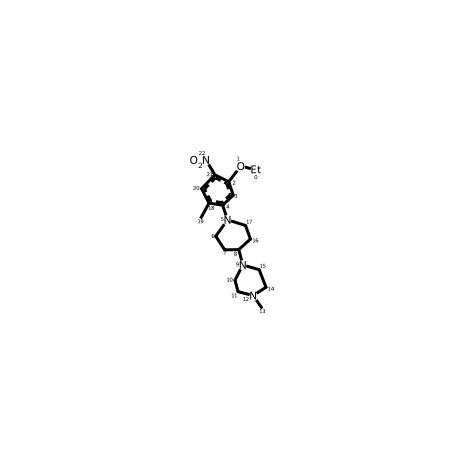 CCOc1cc(N2CCC(N3CCN(C)CC3)CC2)c(C)cc1[N+](=O)[O-]